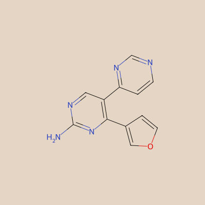 Nc1ncc(-c2ccncn2)c(-c2ccoc2)n1